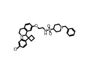 O=S(=O)(NCCOc1ccc2c(c1)C(C1(c3ccc(Cl)cc3)CCC1)NCC2)C1CCN(Cc2ccccc2)CC1